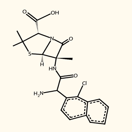 CC1(C)S[C@H]2N(C(=O)[C@]2(C)NC(=O)C(N)c2ccc3ccccc3c2Cl)[C@H]1C(=O)O